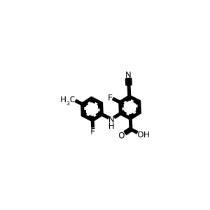 Cc1ccc(Nc2c(C(=O)O)ccc(C#N)c2F)c(F)c1